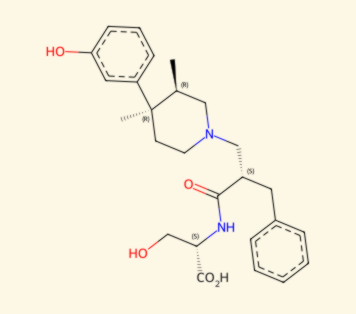 C[C@H]1CN(C[C@H](Cc2ccccc2)C(=O)N[C@@H](CO)C(=O)O)CC[C@@]1(C)c1cccc(O)c1